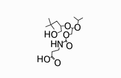 CC(C)OC(COC(=O)NCCC(=O)O)OC(CO)CC(C)(C)C